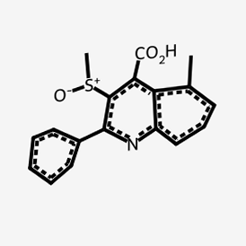 Cc1cccc2nc(-c3ccccc3)c([S+](C)[O-])c(C(=O)O)c12